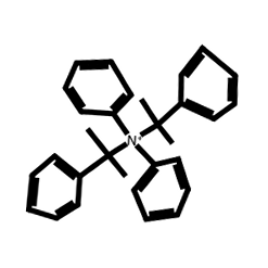 CC(C)(c1ccccc1)[N+](c1ccccc1)(c1ccccc1)C(C)(C)c1ccccc1